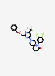 O=C1CCCC2(CCN(c3cc(C(F)(F)F)nc(COCc4ccccc4)n3)CC2)N1c1ccc(F)c(F)c1